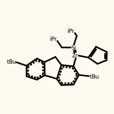 CC(C)C[Si](CC(C)C)=[Zr]([C]1=CC=CC1)[c]1c(C(C)(C)C)ccc2c1Cc1cc(C(C)(C)C)ccc1-2